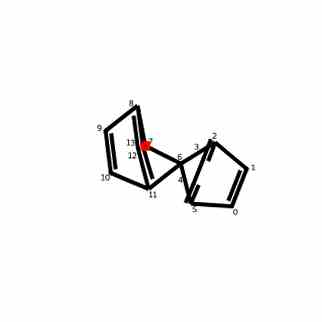 C1=CC2=CC=C1C21Cc2ccc1cc2